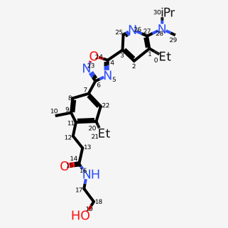 CCc1cc(-c2nc(-c3cc(C)c(CCC(=O)NCCO)c(CC)c3)no2)cnc1N(C)C(C)C